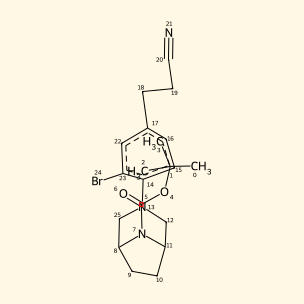 CC(C)(C)OC(=O)N1C2CCC1CN(c1ccc(CCC#N)cc1Br)C2